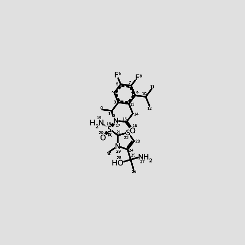 CC(C)c1cc(F)c(F)c(C(C)C)c1CC(=O)N=[S@](N)(=O)C1SC=C(C(C)(N)O)N1C